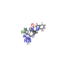 CN(C(=O)c1cc2ccccc2n1C)[C@H]1C/C1=C/c1cc(C(F)F)nc2ncnn12